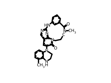 Cc1cccc2c1NCCN2c1cc2cnc3nc2n(c1=O)CCCN(C)C(=O)c1cccc(c1)N3